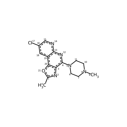 Cc1nc2c(N3CCN(C)CC3)nc3ncc(Cl)cc3c2o1